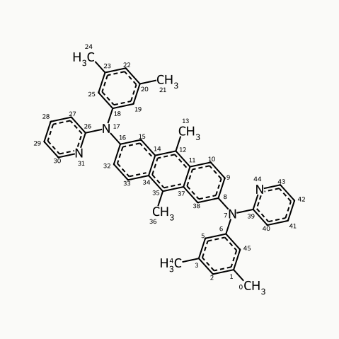 Cc1cc(C)cc(N(c2ccc3c(C)c4cc(N(c5cc(C)cc(C)c5)c5ccccn5)ccc4c(C)c3c2)c2ccccn2)c1